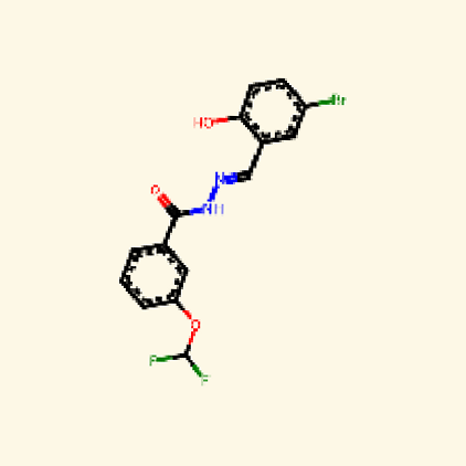 O=C(N/N=C/c1cc(Br)ccc1O)c1cccc(OC(F)F)c1